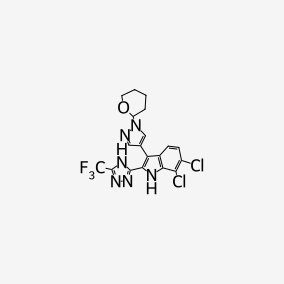 FC(F)(F)c1nnc(-c2[nH]c3c(Cl)c(Cl)ccc3c2-c2cnn(C3CCCCO3)c2)[nH]1